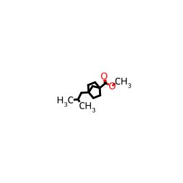 COC(=O)C12CCC(CC(C)C)(CC1)C2